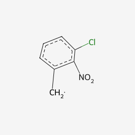 [CH2]c1cccc(Cl)c1[N+](=O)[O-]